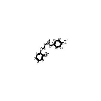 CN(CCOc1ccccc1Br)Cc1ccc(Cl)cc1